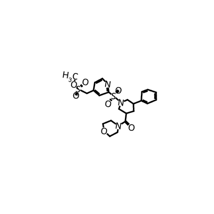 COS(=O)(=O)Cc1ccnc(S(=O)(=O)N2CC(C(=O)N3CCOCC3)CC(c3ccccc3)C2)c1